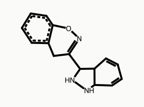 C1=CC2NNC(C3=NOc4ccccc4C3)C2C=C1